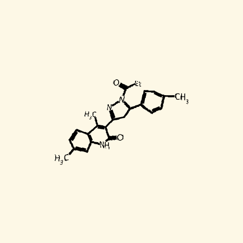 CCC(=O)N1N=C(c2c(C)c3ccc(C)cc3[nH]c2=O)CC1c1ccc(C)cc1